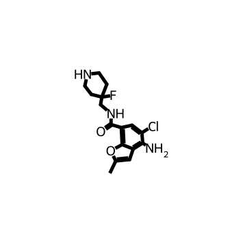 Cc1cc2c(N)c(Cl)cc(C(=O)NCC3(F)CCNCC3)c2o1